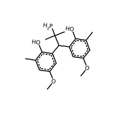 COc1cc(C)c(O)c(C(c2cc(OC)cc(C)c2O)C(C)(C)P)c1